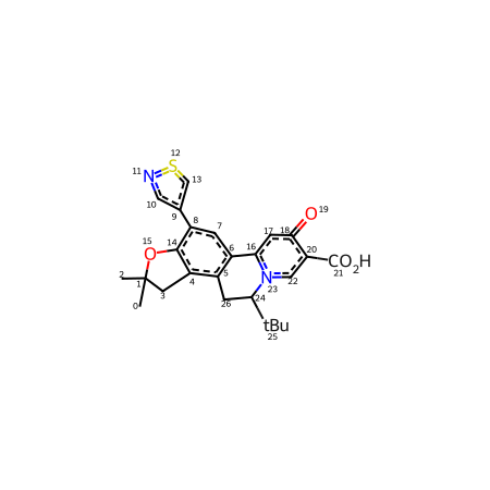 CC1(C)Cc2c3c(cc(-c4cnsc4)c2O1)-c1cc(=O)c(C(=O)O)cn1C(C(C)(C)C)C3